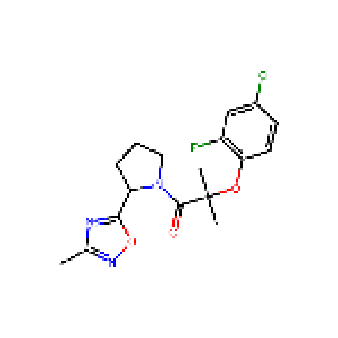 Cc1noc(C2CCCN2C(=O)C(C)(C)Oc2ccc(Cl)cc2F)n1